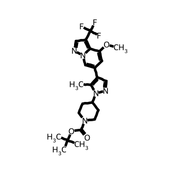 COc1cc(-c2cnn(C3CCN(C(=O)OC(C)(C)C)CC3)c2C)cn2ncc(C(F)(F)F)c12